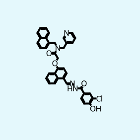 O=C(N/N=C/c1ccc(OCC(=O)N(Cc2cccnc2)Cc2cccc3ccccc23)c2ccccc12)c1ccc(O)c(Cl)c1